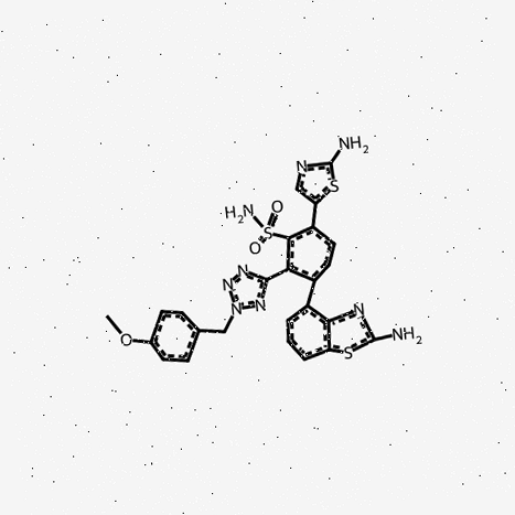 COc1ccc(Cn2nnc(-c3c(-c4cccc5sc(N)nc45)ccc(-c4cnc(N)s4)c3S(N)(=O)=O)n2)cc1